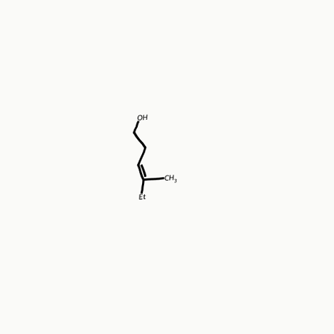 CCC(C)=CCCO